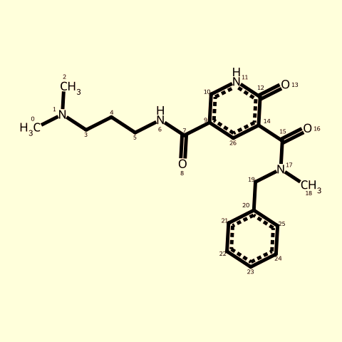 CN(C)CCCNC(=O)c1c[nH]c(=O)c(C(=O)N(C)Cc2ccccc2)c1